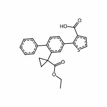 CCOC(=O)C1(c2cc(-c3sccc3C(=O)O)ccc2-c2ccccc2)CC1